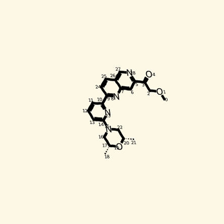 COCC(=O)c1cc2nc(-c3cccc(N4C[C@@H](C)O[C@@H](C)C4)n3)ccc2cn1